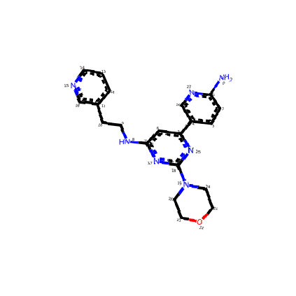 Nc1ccc(-c2cc(NCCc3cccnc3)nc(N3CCOCC3)n2)cn1